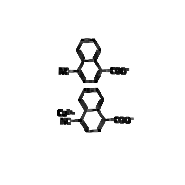 N#Cc1ccc(C(=O)[O-])c2ccccc12.N#Cc1ccc(C(=O)[O-])c2ccccc12.[Cu+2]